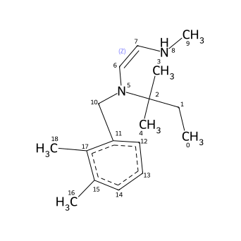 CCC(C)(C)N(/C=C\NC)Cc1cccc(C)c1C